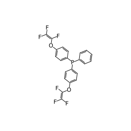 FC(F)=C(F)Oc1ccc(P(c2ccccc2)c2ccc(OC(F)=C(F)F)cc2)cc1